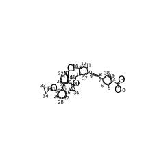 COC(=O)c1ccc(C#Cc2ccc(Cl)c(COC3(c4cnccc4-c4ccccc4OC4CC4)CC3)c2)cc1